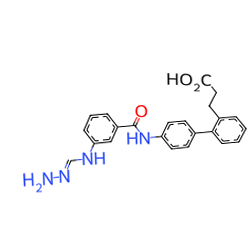 NN=CNc1cccc(C(=O)Nc2ccc(-c3ccccc3CCC(=O)O)cc2)c1